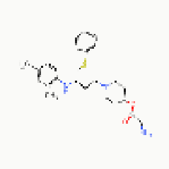 Cc1ccc(N[C@H](CCN2CCC(OC(=O)CN)CC2)CSc2ccccc2)c(C)c1